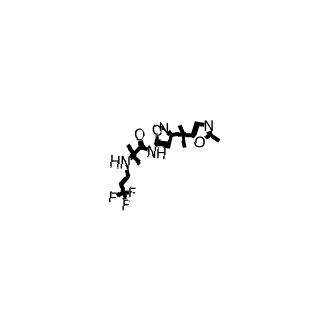 Cc1ncc(C(C)(C)c2cc(NC(=O)C(C)(C)NCCC(F)(F)F)on2)o1